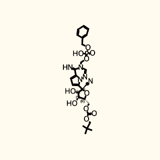 CC(C)(C)COC(=O)OC[C@H]1O[C@@](C#N)(c2ccc3c(=N)n(COP(=O)(O)OCc4ccccc4)cnn23)[C@H](O)[C@@H]1O